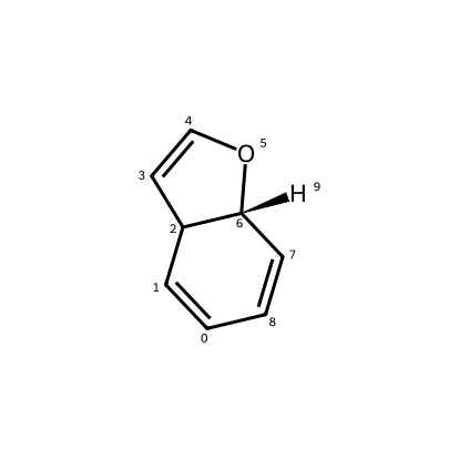 C1=CC2C=CO[C@@H]2C=C1